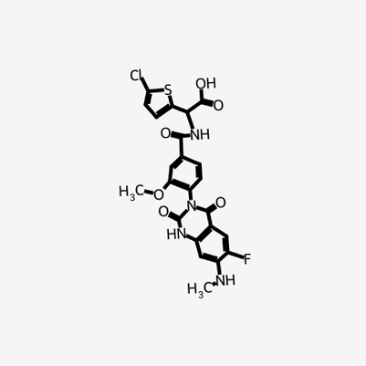 CNc1cc2[nH]c(=O)n(-c3ccc(C(=O)NC(C(=O)O)c4ccc(Cl)s4)cc3OC)c(=O)c2cc1F